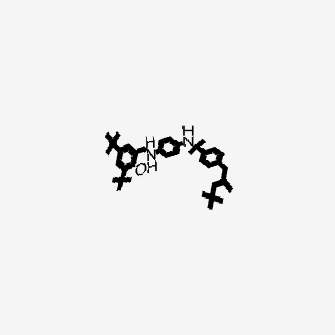 CC(Cc1ccc(C(C)(C)Nc2ccc(NCc3cc(C(C)(C)C)cc(C(C)(C)C)c3O)cc2)cc1)CC(C)(C)C